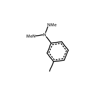 CNN(NC)c1cccc(C)c1